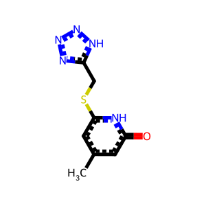 Cc1cc(SCc2nnn[nH]2)[nH]c(=O)c1